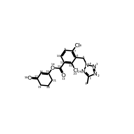 Cc1nnn(Cc2c(Cl)ccc(C(=O)OC3=CC(=O)CCC3)c2Cl)n1